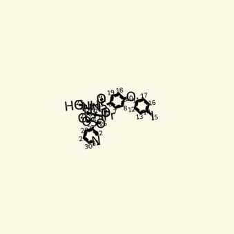 CC(C)C(NS(=O)(=O)c1ccc(Oc2ccc(I)cc2)cc1)(C(=O)NO)S(=O)(=O)c1cccnc1